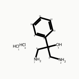 Cl.Cl.NCC(O)(CN)c1ccccc1